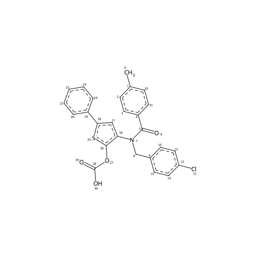 Cc1ccc(C(=O)N(Cc2ccc(Cl)cc2)c2cc(-c3ccccc3)sc2OC(=O)O)cc1